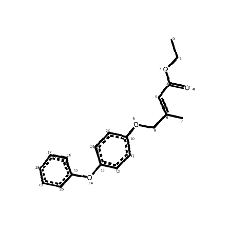 CCOC(=O)C=C(C)COc1ccc(Oc2ccccc2)cc1